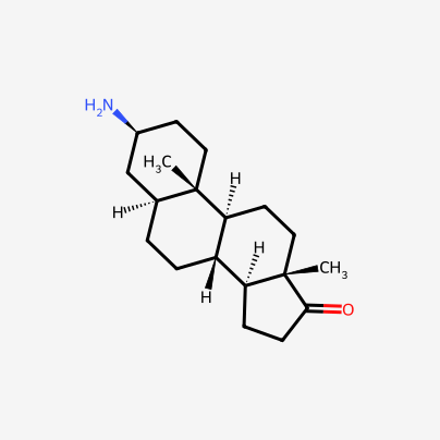 C[C@]12CC[C@H](N)C[C@@H]1CC[C@@H]1[C@@H]2CC[C@]2(C)C(=O)CC[C@@H]12